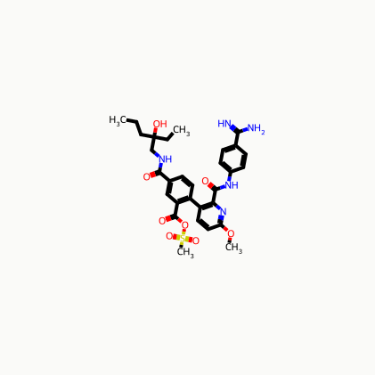 CCCC(O)(CC)CNC(=O)c1ccc(-c2ccc(OC)nc2C(=O)Nc2ccc(C(=N)N)cc2)c(C(=O)OS(C)(=O)=O)c1